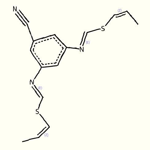 C/C=C\S/C=N/c1cc(C#N)cc(/N=C/S/C=C\C)c1